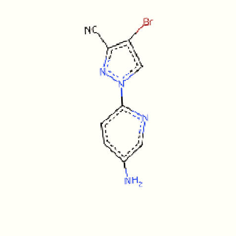 N#Cc1nn(-c2ccc(N)cn2)cc1Br